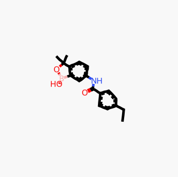 CCc1ccc(C(=O)Nc2ccc3c(c2)B(O)OC3(C)C)cc1